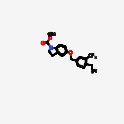 CC(C)Cc1ccc(COc2ccc3c(c2)CCN3C(=O)OC(C)(C)C)cc1C(F)(F)F